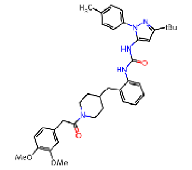 COc1ccc(CC(=O)N2CCC(Cc3ccccc3NC(=O)Nc3cc(C(C)(C)C)nn3-c3ccc(C)cc3)CC2)cc1OC